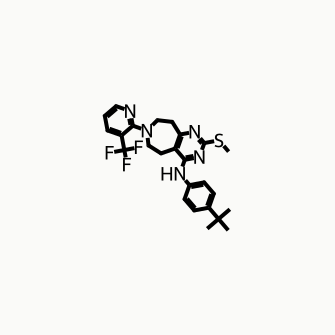 CSc1nc2c(c(Nc3ccc(C(C)(C)C)cc3)n1)CCN(c1ncccc1C(F)(F)F)CC2